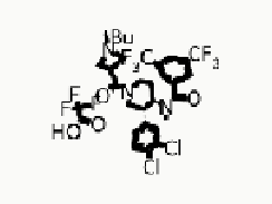 CN(C(=O)c1cc(C(F)(F)F)cc(C(F)(F)F)c1)[C@@H]1CCN(C(=O)C2CN(C(C)(C)C)C2)C[C@H]1c1ccc(Cl)c(Cl)c1.O=C(O)C(F)(F)F